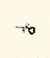 C=C(c1ccccc1)[PH](=O)OC